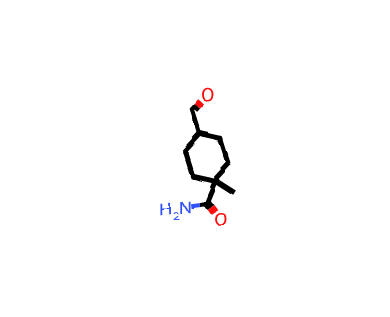 CC1(C(N)=O)CCC(C=O)CC1